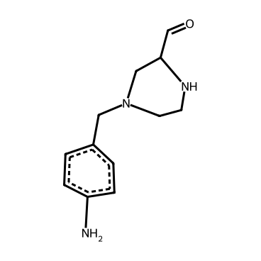 Nc1ccc(CN2CCNC(C=O)C2)cc1